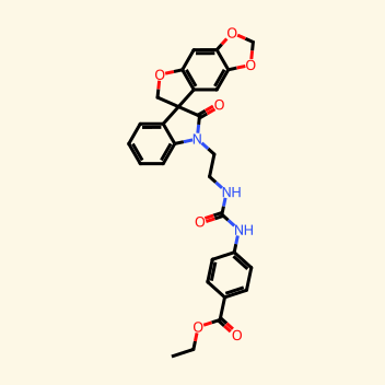 CCOC(=O)c1ccc(NC(=O)NCCN2C(=O)C3(COc4cc5c(cc43)OCO5)c3ccccc32)cc1